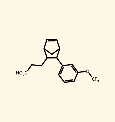 O=C(O)CCC1C2C=CC(C2)C1c1cccc(OC(F)(F)F)c1